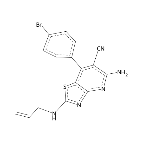 C=CCNc1nc2nc(N)c(C#N)c(-c3ccc(Br)cc3)c2s1